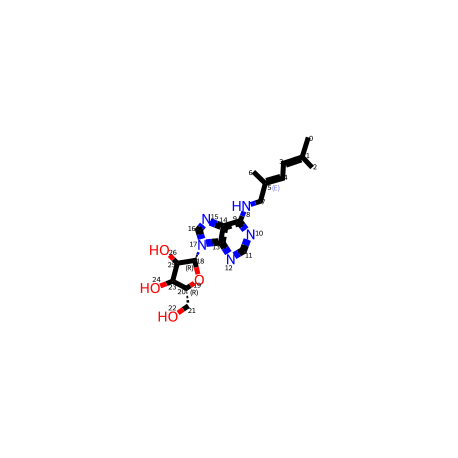 CC(C)=C/C=C(\C)CNc1ncnc2c1ncn2[C@@H]1O[C@H](CO)C(O)C1O